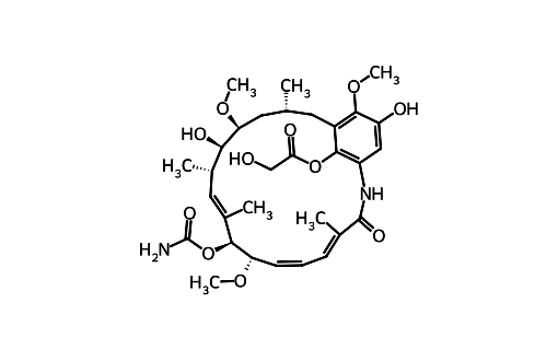 COc1c(O)cc2c(OC(=O)CO)c1C[C@@H](C)C[C@H](OC)[C@H](O)[C@@H](C)/C=C(\C)[C@H](OC(N)=O)[C@@H](OC)/C=C\C=C(/C)C(=O)N2